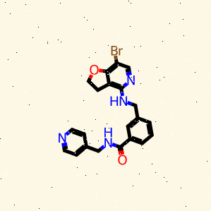 O=C(NCc1ccncc1)c1cccc(CNc2ncc(Br)c3c2CCO3)c1